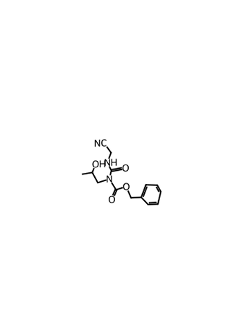 CC(O)CN(C(=O)NCC#N)C(=O)OCc1ccccc1